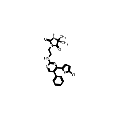 CC1(C)NC(=O)N(CCNc2ncc(-c3ccccc3)c(-c3ccc(Cl)s3)n2)C1=O